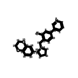 Fc1cc(-c2cccnc2)ccc1CN1CCC[C@@H]1c1ccc2c(c1)OCCO2